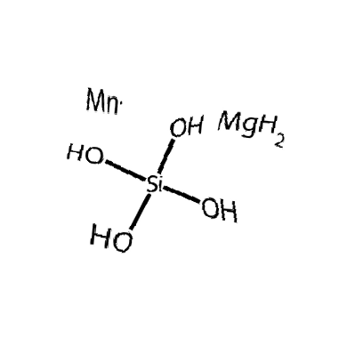 O[Si](O)(O)O.[MgH2].[Mn]